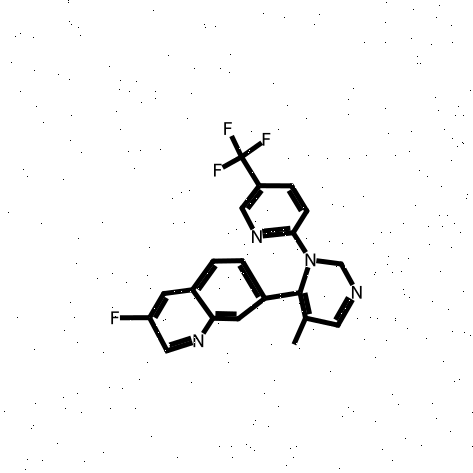 CC1=C(c2ccc3cc(F)cnc3c2)N(c2ccc(C(F)(F)F)cn2)CN=C1